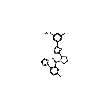 COc1cc(C)cc(-c2nc(C3CCCN3C(=O)c3cc(C)ccc3-n3nccn3)no2)c1